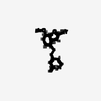 C=C/C=C(\C=C/N)CCc1ccc(OC)c2oc(C(C)C)cc12